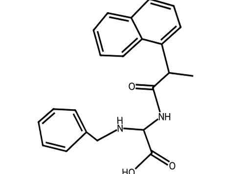 CC(C(=O)NC(NCc1ccccc1)C(=O)O)c1cccc2ccccc12